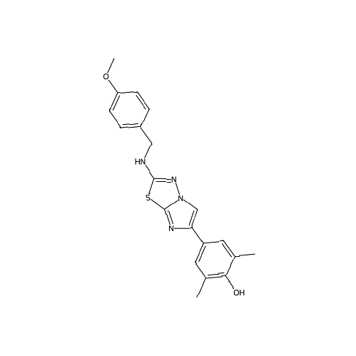 COc1ccc(CNc2nn3cc(-c4cc(C)c(O)c(C)c4)nc3s2)cc1